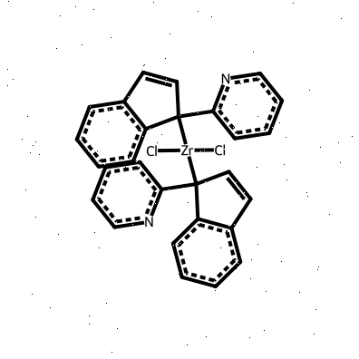 [Cl][Zr]([Cl])([C]1(c2ccccn2)C=Cc2ccccc21)[C]1(c2ccccn2)C=Cc2ccccc21